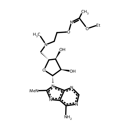 CCOC(C)=NOCCN(C)C[C@H]1O[C@@H](n2c(NC)nc3c(N)ncnc32)[C@H](O)[C@@H]1O